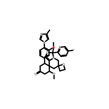 COc1cc(C2CC(=O)CC(OC)C23CC2(CCO2)CN2C3=NOC2(C)c2ccc(F)cn2)ccc1-n1cnc(C)c1